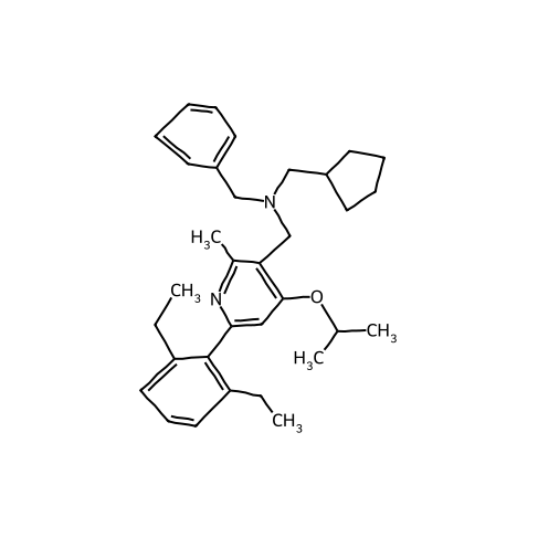 CCc1cccc(CC)c1-c1cc(OC(C)C)c(CN(Cc2ccccc2)CC2CCCC2)c(C)n1